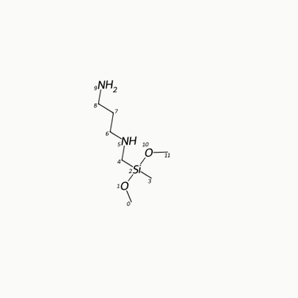 CO[Si](C)(CNCCCN)OC